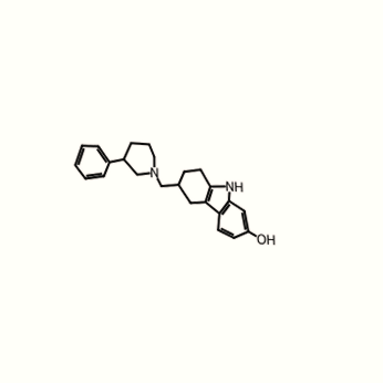 Oc1ccc2c3c([nH]c2c1)CCC(CN1CCCC(c2ccccc2)C1)C3